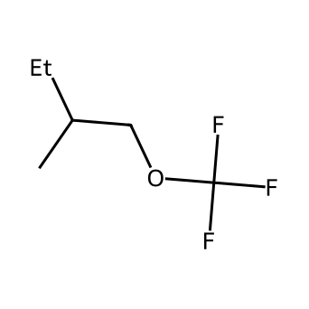 CCC(C)COC(F)(F)F